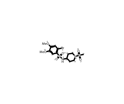 COc1cc(Br)c(S(=O)(=O)NC2CCN(S(C)(=O)=O)CC2)cc1OC